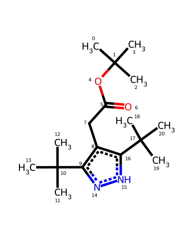 CC(C)(C)OC(=O)Cc1c(C(C)(C)C)n[nH]c1C(C)(C)C